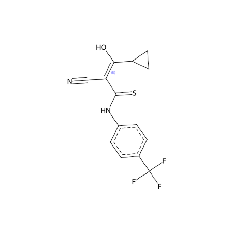 N#C/C(C(=S)Nc1ccc(C(F)(F)F)cc1)=C(\O)C1CC1